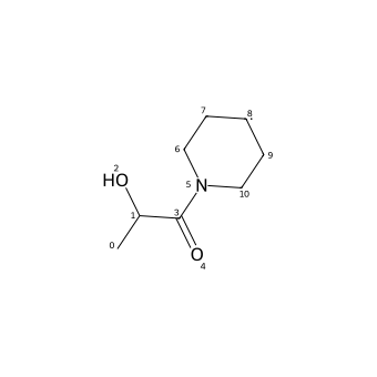 CC(O)C(=O)N1CC[CH]CC1